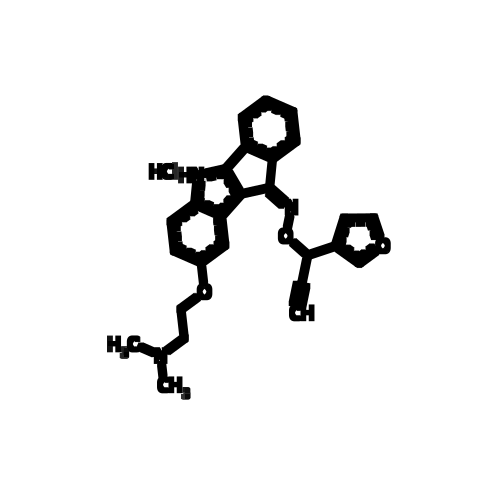 C#CC(O/N=C1/c2ccccc2-c2[nH]c3ccc(OCCN(C)C)cc3c21)c1ccoc1.Cl